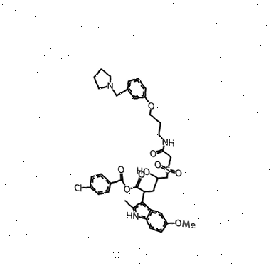 COc1ccc2[nH]c(C)c(C(CC(O)CS(=O)(=O)CC(=O)NCCCOc3cccc(CN4CCCC4)c3)C(=O)OC(=O)c3ccc(Cl)cc3)c2c1